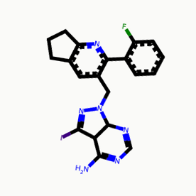 NC1=NC=NC2C1C(I)=NN2Cc1cc2c(nc1-c1ccccc1F)CCC2